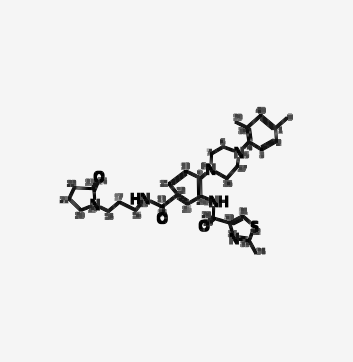 Cc1ccc(N2CCN(c3ccc(C(=O)NCCCN4CCCC4=O)cc3NC(=O)c3csc(C)n3)CC2)c(C)c1